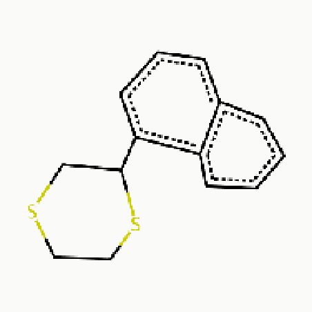 c1ccc2c(C3CSCCS3)cccc2c1